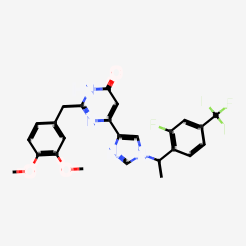 COc1ccc(Cc2nc(-c3cn(C(C)c4ccc(C(F)(F)F)cc4F)cn3)cc(=O)[nH]2)cc1OC